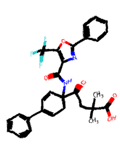 CC(C)(CC(=O)C1(NC(=O)c2nc(-c3ccccc3)oc2C(F)(F)F)C=CC(c2ccccc2)=CC1)C(=O)O